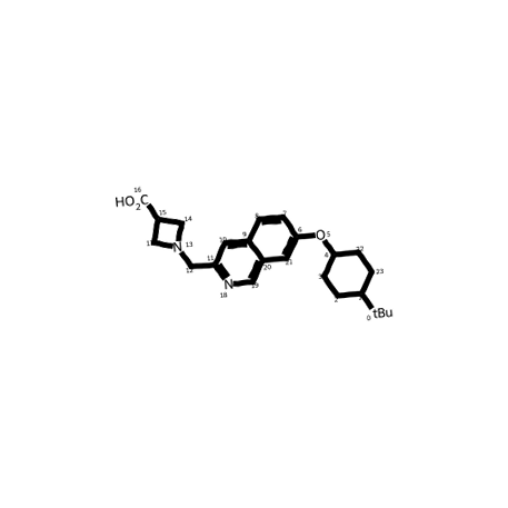 CC(C)(C)C1CCC(Oc2ccc3cc(CN4CC(C(=O)O)C4)ncc3c2)CC1